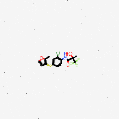 Cc1occc1Sc1ccc(NC(=O)C(C)(O)C(F)(F)F)c(Cl)c1